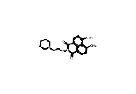 COc1ccc2c3c(ccc(OC)c13)C(=O)N(OCCN1CCCCC1)C2=O